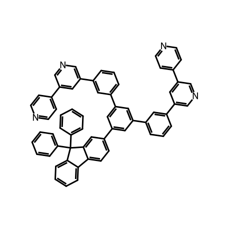 c1ccc(C2(c3ccccc3)c3ccccc3-c3ccc(-c4cc(-c5cccc(-c6cncc(-c7ccncc7)c6)c5)cc(-c5cccc(-c6cncc(-c7ccncc7)c6)c5)c4)cc32)cc1